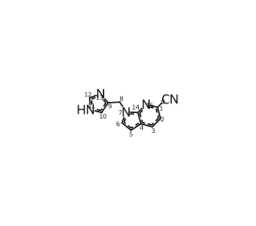 N#Cc1ccc2ccn(Cc3c[nH]cn3)c2n1